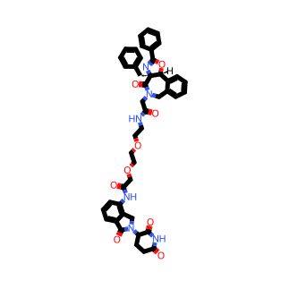 O=C(CN1Cc2ccccc2[C@@H]2OC(c3ccccc3)=N[C@]2(Cc2ccccc2)C1=O)NCCOCCOCC(=O)Nc1cccc2c1CN(C1CCC(=O)NC1=O)C2=O